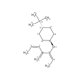 C=C(/C=C\C)/C(=C\C)O[C@H]1CC[C@H](C(C)(C)C)CC1